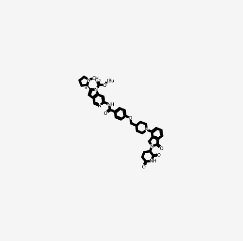 CN1CCC[C@@H]1c1cc2cnc(NC(=O)c3ccc(OCC4CCN(c5cccc6c5CN(C5CCC(=O)NC5=O)C6=O)CC4)cc3)cc2n1C(=O)OC(C)(C)C